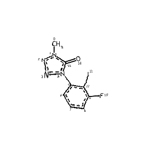 Cn1nnn(-c2cccc(F)c2I)c1=O